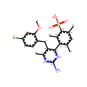 COc1cc(Br)ccc1Cc1c(C)nc(N)nc1-c1c(C)cc(C)c(S(=O)(=O)O)c1C